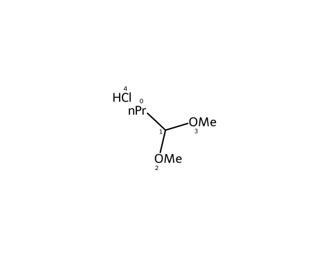 CCCC(OC)OC.Cl